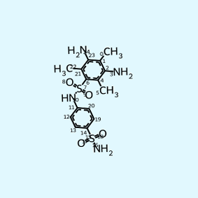 Cc1c(N)c(C)c(S(=O)(=O)Nc2ccc(S(N)(=O)=O)cc2)c(C)c1N